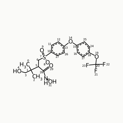 CC(C)(CO)C(CS(=O)(=O)c1ccc(Oc2ccc(OC(F)(F)F)cc2)cc1)C(=O)NO